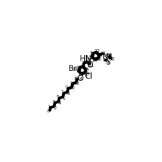 CCCCCCCCCCCCCCOc1ccc(CC(=O)Nc2ccc(C[n+]3ccsc3)cc2)cc1Cl.[Br-]